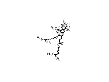 CC(C)CCCCCOC(=O)CCC(Cc1cc(C(C)(C)C)c(O)c(C(C)(C)C)c1)C(=O)OCCCCCC(C)C